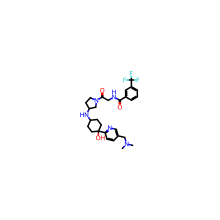 CN(C)Cc1ccc(C2(O)CCC(NC3CCN(C(=O)CNC(=O)c4cccc(C(F)(F)F)c4)C3)CC2)nc1